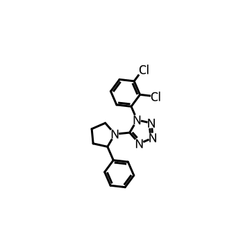 Clc1cccc(-n2nnnc2N2CCCC2c2ccccc2)c1Cl